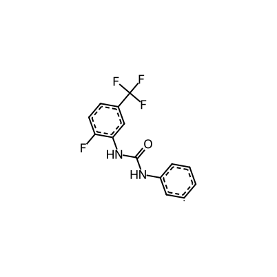 O=C(Nc1c[c]ccc1)Nc1cc(C(F)(F)F)ccc1F